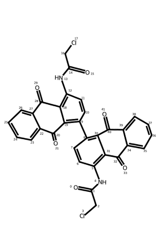 O=C(CCl)Nc1ccc(-c2ccc(NC(=O)CCl)c3c2C(=O)c2ccccc2C3=O)c2c1C(=O)c1ccccc1C2=O